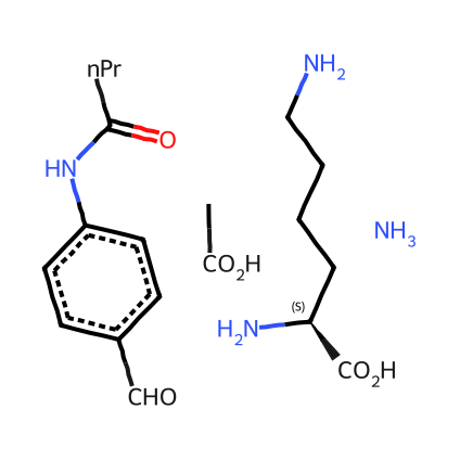 CC(=O)O.CCCC(=O)Nc1ccc(C=O)cc1.N.NCCCC[C@H](N)C(=O)O